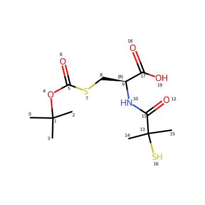 CC(C)(C)OC(=O)SC[C@H](NC(=O)C(C)(C)S)C(=O)O